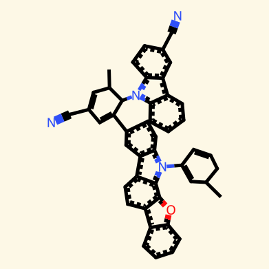 CC1C=C(n2c3ccc(C4=CC(C#N)=CC(C)C4n4c5ccccc5c5cc(C#N)ccc54)cc3c3ccc4c5ccccc5oc4c32)C=CC1